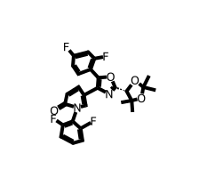 CC1(C)O[C@@H](c2nc(-c3ccc(=O)n(-c4c(F)cccc4F)c3)c(-c3ccc(F)cc3F)o2)C(C)(C)O1